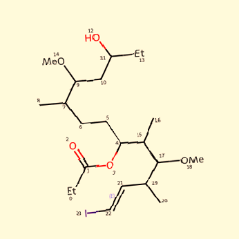 CCC(=O)OC(CCC(C)C(CC(O)CC)OC)C(C)C(OC)C(C)/C=C/I